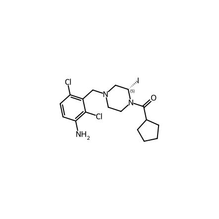 Nc1ccc(Cl)c(CN2CCN(C(=O)C3CCCC3)[C@@H](I)C2)c1Cl